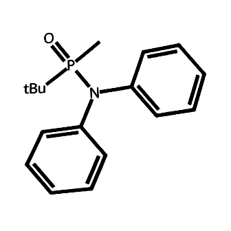 CC(C)(C)P(C)(=O)N(c1ccccc1)c1ccccc1